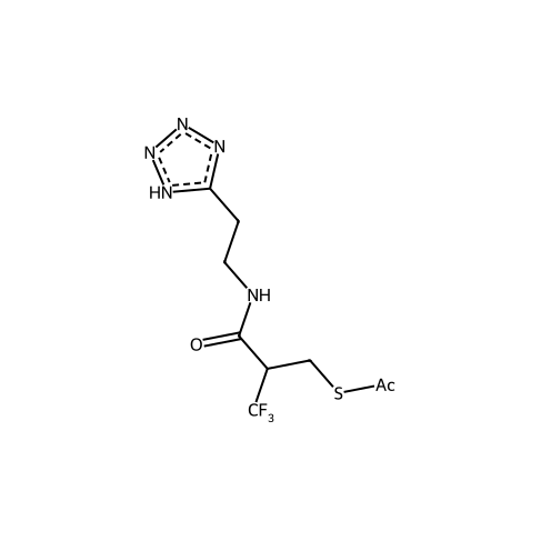 CC(=O)SCC(C(=O)NCCc1nnn[nH]1)C(F)(F)F